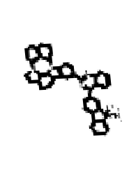 CC1(C)c2ccccc2-c2ccc(-c3nc(-c4ccc5c(c4)c4ccc6ccn(-c7ccccc7)c6c4n5-c4ccccc4)nc4ccccc34)cc21